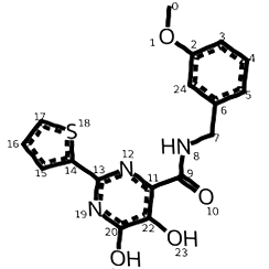 COc1cccc(CNC(=O)c2nc(-c3cccs3)nc(O)c2O)c1